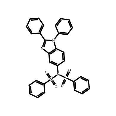 O=S(=O)(c1ccccc1)N(c1ccc2c(c1)nc(-c1ccccc1)n2-c1ccccc1)S(=O)(=O)c1ccccc1